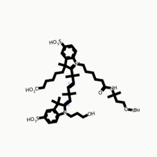 CC(C)(/C=C/C(C)(C)C1=[N+](CCCCCC(=O)NC(C)(C)CCOC(C)(C)C)c2ccc(S(=O)(=O)O)cc2C1(C)CCCCCC(=O)O)/C=C1/N(CCCO)c2ccc(S(=O)(=O)O)cc2C1(C)C